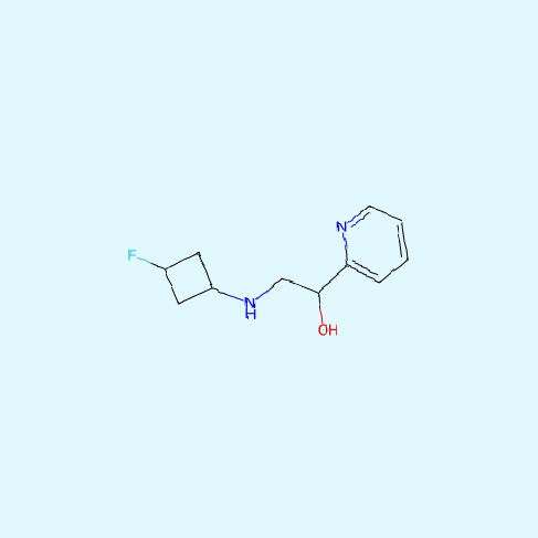 OC(CNC1CC(F)C1)c1ccccn1